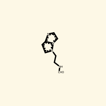 O=CNCCn1ccc2nccn21